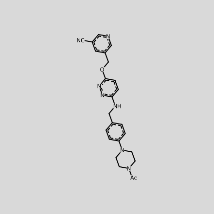 CC(=O)N1CCN(c2ccc(CNc3ccc(OCc4cncc(C#N)c4)nn3)cc2)CC1